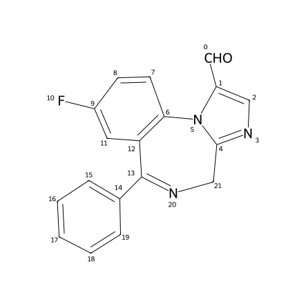 O=Cc1cnc2n1-c1ccc(F)cc1C(c1ccccc1)=NC2